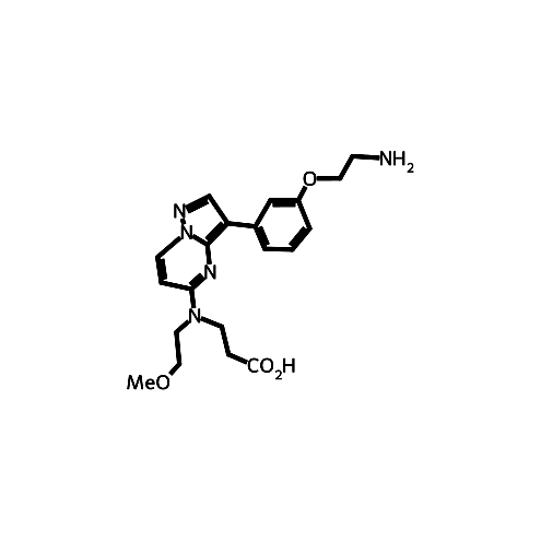 COCCN(CCC(=O)O)c1ccn2ncc(-c3cccc(OCCN)c3)c2n1